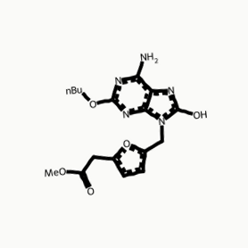 CCCCOc1nc(N)c2nc(O)n(Cc3ccc(CC(=O)OC)o3)c2n1